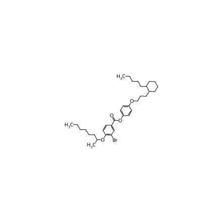 CCCCCCC(C)Oc1ccc(C(=O)Oc2ccc(OCCCC3CCCCC3CCCCC)cc2)cc1Br